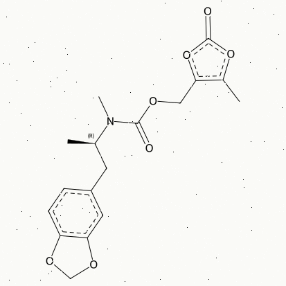 Cc1oc(=O)oc1COC(=O)N(C)[C@H](C)Cc1ccc2c(c1)OCO2